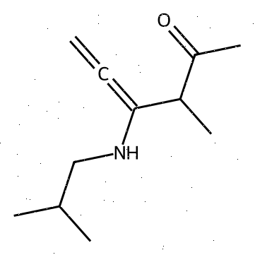 C=C=C(NCC(C)C)C(C)C(C)=O